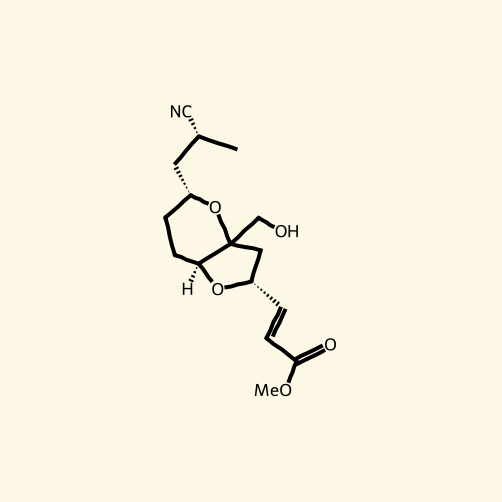 COC(=O)/C=C/[C@H]1CC2(CO)O[C@@H](C[C@@H](C)C#N)CC[C@@H]2O1